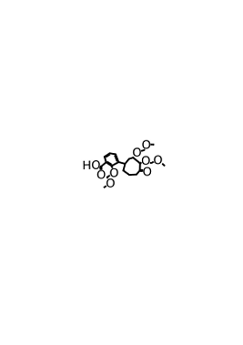 COCOc1c(C(=O)O)cccc1C1CCCC(=O)C(OCOC)C(OCOC)C1